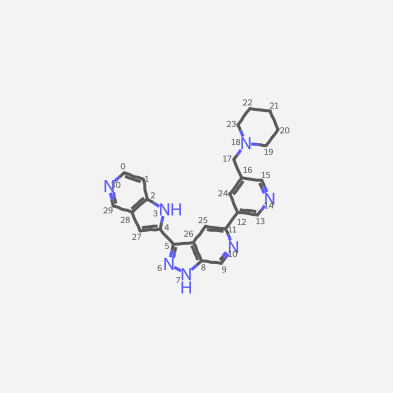 c1cc2[nH]c(-c3n[nH]c4cnc(-c5cncc(CN6CCCCC6)c5)cc34)cc2cn1